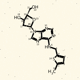 Cc1ccc(CNc2ncnc3c2ncn3[C@H]2CC(O)[C@@H](CO)O2)s1